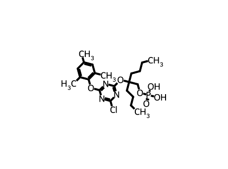 CCCCC(CCCC)(COP(=O)(O)O)Oc1nc(Cl)nc(Oc2c(C)cc(C)cc2C)n1